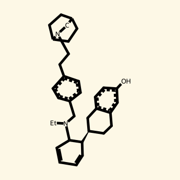 CCN(Cc1ccc(CCN2CC3CCC2CC3)cc1)C1C=CC=CC1[C@@H]1CCc2cc(O)ccc2C1